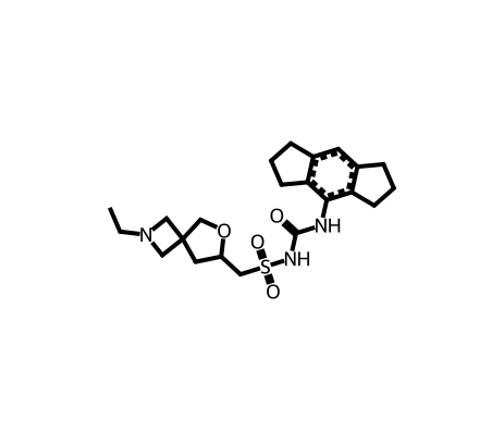 CCN1CC2(COC(CS(=O)(=O)NC(=O)Nc3c4c(cc5c3CCC5)CCC4)C2)C1